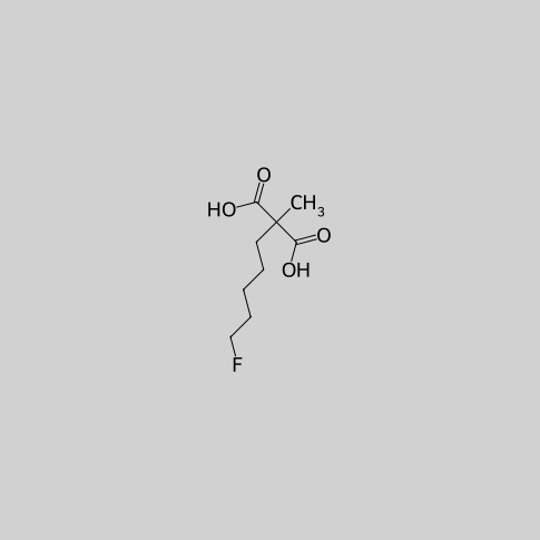 CC(CCCCCF)(C(=O)O)C(=O)O